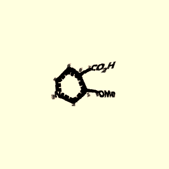 COc1[c]nccc1C(=O)O